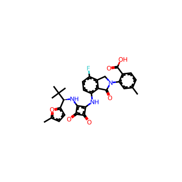 Cc1ccc(C(=O)O)c(N2Cc3c(F)ccc(Nc4c(N[C@@H](c5ccc(C)o5)C(C)(C)C)c(=O)c4=O)c3C2=O)c1